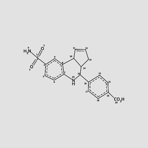 NS(=O)(=O)c1ccc2c(c1)C1C=CCC1C(c1ccc(C(=O)O)cc1)N2